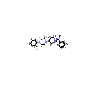 Clc1ccccc1N1CCN(C2CCN(C(I)c3ccccc3)CC2)CC1